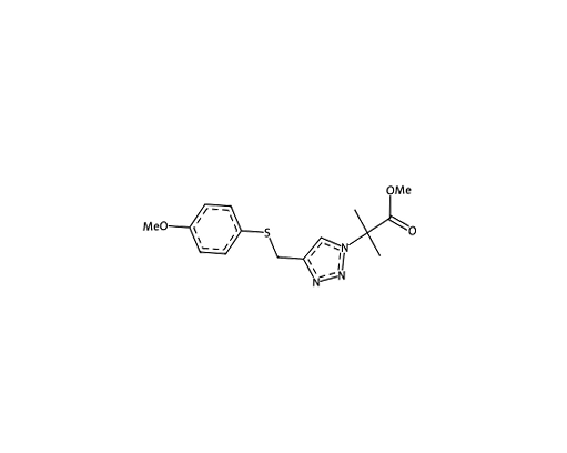 COC(=O)C(C)(C)n1cc(CSc2ccc(OC)cc2)nn1